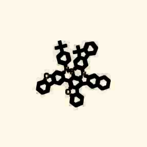 CC(C)(C)c1ccc(N2B3c4cc5c(cc4-n4c6cc7c(cc6c6c8c(oc9ccccc98)c(c3c64)-c3cc4c(cc32)oc2ccccc24)CCCC7)-c2ccccc2C5(C)C)cc1